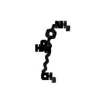 CCCCCCCN1C=C(c2ccc(CN)cc2)ON1